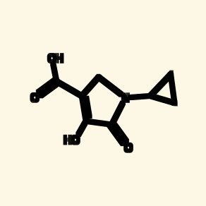 O=C(O)C1=C(O)C(=O)N(C2CC2)C1